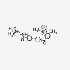 Cc1ccc(C(=O)N2CCC(c3ccc(C(=O)NCCN(C)C)cc3)CC2)cc1NS(C)(=O)=O